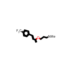 C=C(/C=C/c1ccc(C(F)(F)F)cc1)OCCCNC